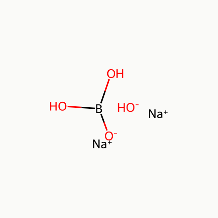 [Na+].[Na+].[O-]B(O)O.[OH-]